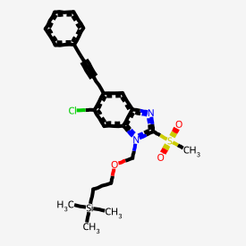 C[Si](C)(C)CCOCn1c(S(C)(=O)=O)nc2cc(C#Cc3ccccc3)c(Cl)cc21